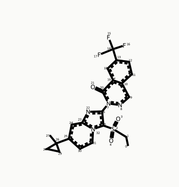 CCS(=O)(=O)c1c(-n2ncc3ccc(C(F)(F)F)cc3c2=O)nc2cc(C3(C)CC3)ccn12